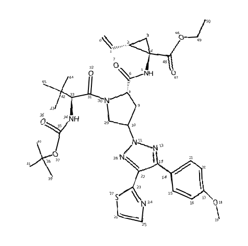 C=C[C@@H]1C[C@]1(NC(=O)[C@@H]1CC(n2nc(-c3ccc(OC)cc3)c(-c3nccs3)n2)CN1C(=O)[C@@H](NC(=O)OC(C)(C)C)C(C)(C)C)C(=O)OCC